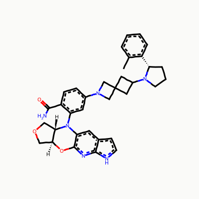 Cc1ccccc1[C@@H]1CCCN1C1CC2(C1)CN(c1ccc(C(N)=O)c(N3c4cc5cc[nH]c5nc4O[C@H]4COC[C@@H]43)c1)C2